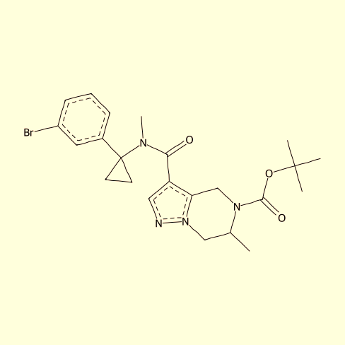 CC1Cn2ncc(C(=O)N(C)C3(c4cccc(Br)c4)CC3)c2CN1C(=O)OC(C)(C)C